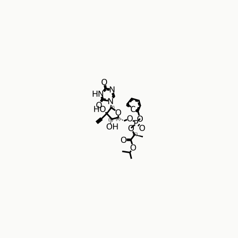 C#CC1(O)[C@@H](O)[C@@H](COP(=O)(Oc2ccccc2)O[C@@H](C)C(=O)OC(C)C)O[C@H]1n1cnc(=O)[nH]c1=O